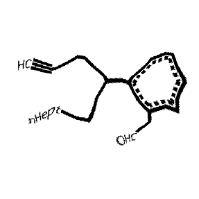 C#CCC(CCCCCCCC)c1ccccc1C=O